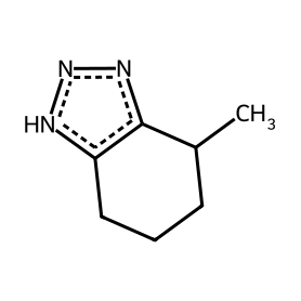 CC1CCCc2[nH]nnc21